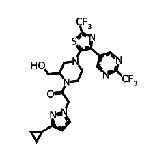 O=C(Cn1ccc(C2CC2)n1)N1CCN(c2sc(C(F)(F)F)nc2-c2cnc(C(F)(F)F)nc2)CC1CO